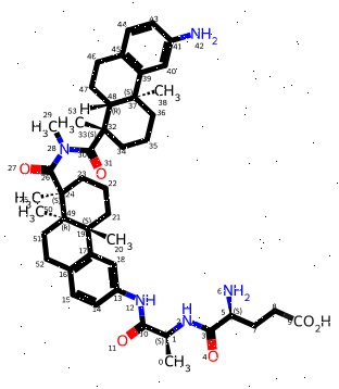 C[C@H](NC(=O)[C@@H](N)CCC(=O)O)C(=O)Nc1ccc2c(c1)[C@@]1(C)CCC[C@](C)(C(=O)N(C)C(=O)[C@@]3(C)CCC[C@]4(C)c5cc(N)ccc5CC[C@@H]34)[C@]1(C)CC2